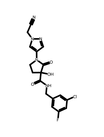 N#CCn1cc(N2CCC(O)(C(=O)NCc3cc(F)cc(Cl)c3)C2=O)cn1